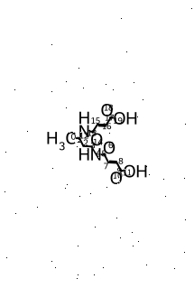 CC(CCNC(=O)C=CC(=O)O)NC(=O)C=CC(=O)O